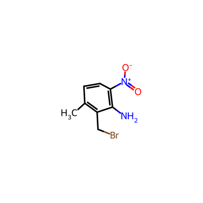 Cc1ccc([N+](=O)[O-])c(N)c1CBr